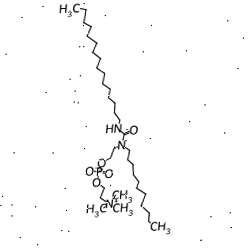 CCCCCCCCCCCCCCCCNC(=O)N(CCCCCCCCCCC)CCOP(=O)([O-])OCC[N+](C)(C)C